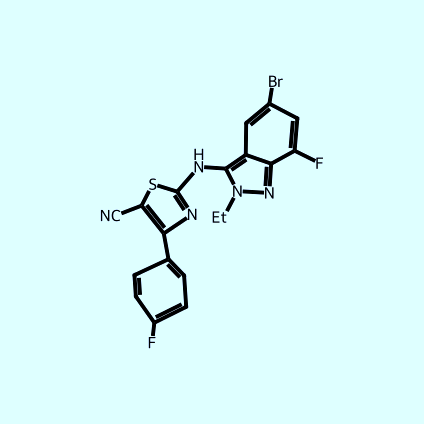 CCn1nc2c(F)cc(Br)cc2c1Nc1nc(-c2ccc(F)cc2)c(C#N)s1